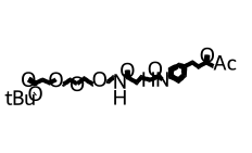 CC(=O)CC(=O)CCc1ccc(NC(=O)CCCC(=O)NCCOCCOCCOCCC(=O)OC(C)(C)C)cc1